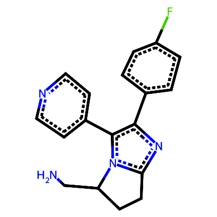 NCC1CCc2nc(-c3ccc(F)cc3)c(-c3ccncc3)n21